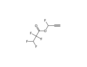 C#CC(F)OC(=O)C(F)(F)C(F)F